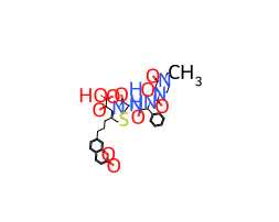 CCN1CCN(C(=O)NC(C(=O)NC2C(=O)N3C(C(=O)C(=O)O)=C(CCCc4ccc5ccc(=O)oc5c4)CSC23)c2ccccc2)C(=O)C1=O